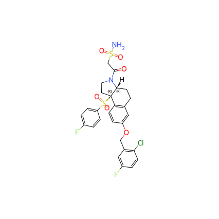 NS(=O)(=O)CC(=O)N1CC[C@@]2(S(=O)(=O)c3ccc(F)cc3)c3ccc(OCc4cc(F)ccc4Cl)cc3CC[C@@H]12